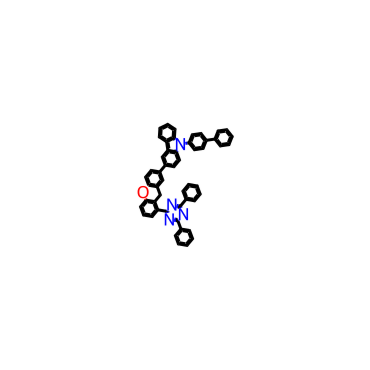 c1ccc(-c2ccc(-n3c4ccccc4c4cc(-c5ccc6c(c5)Cc5c(cccc5-c5nc(-c7ccccc7)nc(-c7ccccc7)n5)O6)ccc43)cc2)cc1